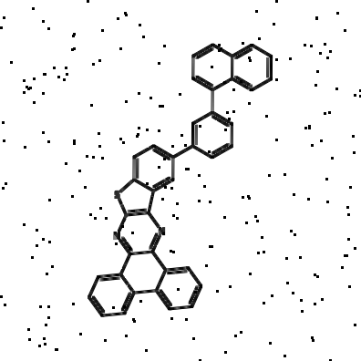 c1cc(-c2ccc3sc4nc5c6ccccc6c6ccccc6c5nc4c3c2)cc(-c2cccc3ccccc23)c1